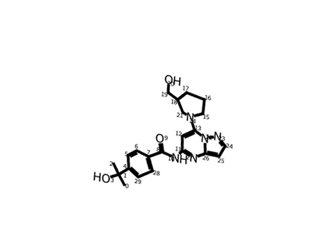 CC(C)(O)c1ccc(C(=O)Nc2cc(N3CCCC(CO)C3)n3nccc3n2)cc1